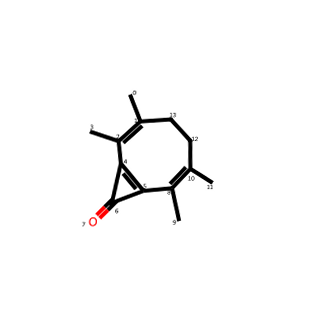 C/C1=C(\C)c2c(c2=O)/C(C)=C(/C)CC1